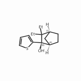 CCC1(CC)[C@H]2CC[C@H](C2)[C@]1(O)c1cccs1